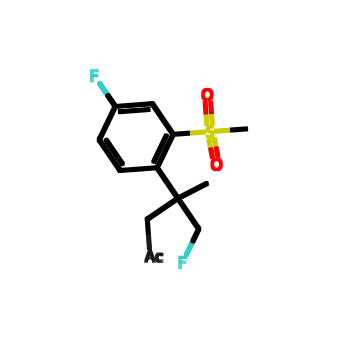 CC(=O)CC(C)(CF)c1ccc(F)cc1S(C)(=O)=O